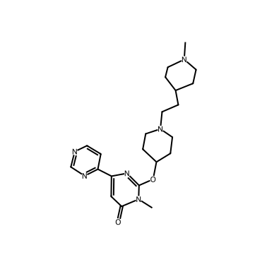 CN1CCC(CCN2CCC(Oc3nc(-c4ccncn4)cc(=O)n3C)CC2)CC1